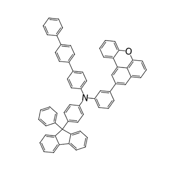 c1ccc(-c2ccc(-c3ccc(N(c4ccc(C5(c6ccccc6)c6ccccc6-c6ccccc65)cc4)c4cccc(-c5cc6c7c(cccc7c5)Oc5ccccc5-6)c4)cc3)cc2)cc1